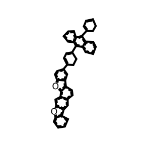 C1=CCCC(c2c3ccccc3c(C3=CC=C(c4ccc5oc6c7cc8oc9ccccc9c8cc7ccc6c5c4)CC3)c3ccccc23)=C1